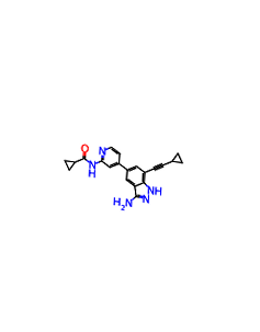 Nc1n[nH]c2c(C#CC3CC3)cc(-c3ccnc(NC(=O)C4CC4)c3)cc12